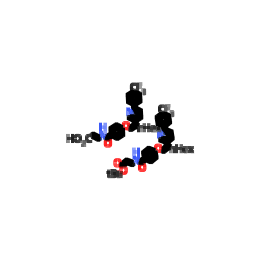 CCCCCCC(COc1ccc(C(=O)NCCC(=O)O)cc1)c1ccc(-c2ccc(C(F)(F)F)cc2)nc1.CCCCCCC(COc1ccc(C(=O)NCCC(=O)OC(C)(C)C)cc1)c1ccc(-c2ccc(C(F)(F)F)cc2)nc1